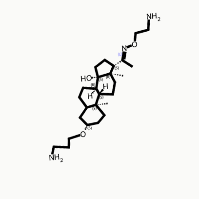 C/C(=N\OCCN)[C@H]1CC[C@]2(O)[C@@H]3CCC4C[C@@H](OCCCN)CC[C@]4(C)[C@H]3CC[C@]12C